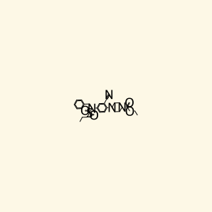 CCCS(=O)(=O)N(Cc1ccccc1)c1ccc(N2CCN(C(=O)OCC)CC2)c(C#N)c1